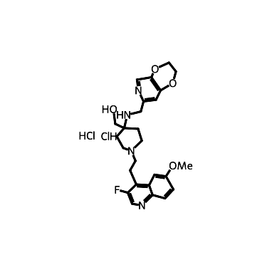 COc1ccc2ncc(F)c(CCN3CCC(CO)(NCc4cc5c(cn4)OCCO5)CC3)c2c1.Cl.Cl